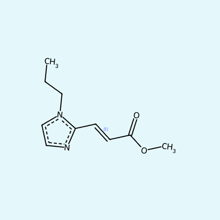 CCCn1ccnc1/C=C/C(=O)OC